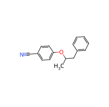 CC(Cc1ccccc1)Oc1ccc(C#N)cc1